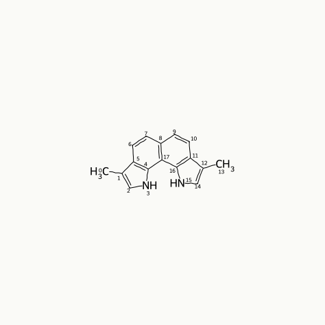 Cc1c[nH]c2c1ccc1ccc3c(C)c[nH]c3c12